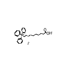 O=C(O)CCCCCCCCC[P+](c1ccccc1)(c1ccccc1)c1ccccc1.[I-]